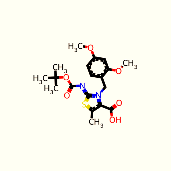 COc1ccc(Cn2c(C(=O)O)c(C)sc2=NC(=O)OC(C)(C)C)c(OC)c1